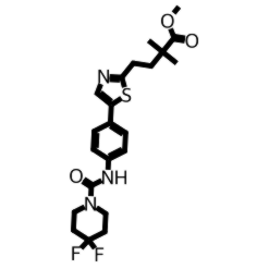 COC(=O)C(C)(C)CCc1ncc(-c2ccc(NC(=O)N3CCC(F)(F)CC3)cc2)s1